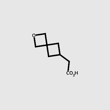 O=C(O)CC1CC2(COC2)C1